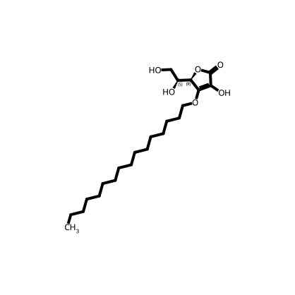 CCCCCCCCCCCCCCCCOC1=C(O)C(=O)O[C@@H]1[C@@H](O)CO